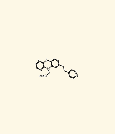 COCN1c2cc(CCc3ccncc3)ccc2Sc2nccnc21